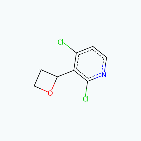 Clc1ccnc(Cl)c1C1[CH]CO1